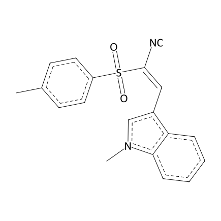 [C-]#[N+]C(=Cc1cn(C)c2ccccc12)S(=O)(=O)c1ccc(C)cc1